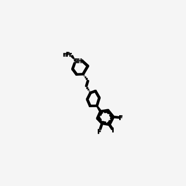 CCC[Si@H]1CC[C@H](CC[C@H]2CC[C@H](c3cc(F)c(I)c(F)c3)CC2)CC1